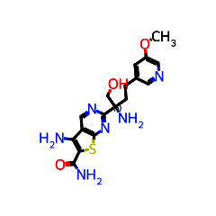 COc1cncc(CC[C@@](N)(CO)c2ncc3c(N)c(C(N)=O)sc3n2)c1